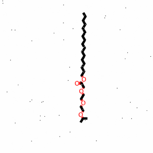 CCCCCCCCCCCCCCCCCOC(=O)COCCOCCOC(C)C